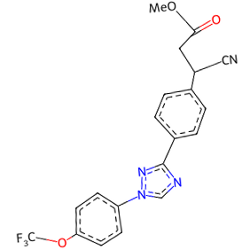 COC(=O)CC(C#N)c1ccc(-c2ncn(-c3ccc(OC(F)(F)F)cc3)n2)cc1